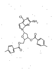 Cc1ccc(C(=O)OCC2OC(n3ccc4c(Cl)nc(N)nc43)CC2OC(=O)c2ccc(C)cc2)cc1